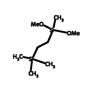 CO[Si](C)(CC[Si](C)(C)C)OC